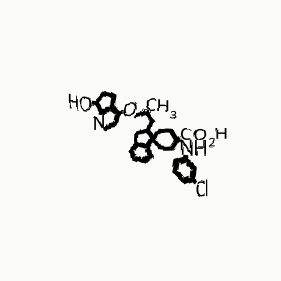 C[C@@H](COc1ccnc2c1CCC2O)CC1Cc2ccccc2C12CCC(Nc1cccc(Cl)c1)(C(=O)O)CC2